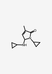 CC1=CC(NC2CC2)N(C2CC2)C1=O